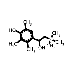 Cc1cc(C(O)C[Si](C)(C)C)c(C)c(C)c1O